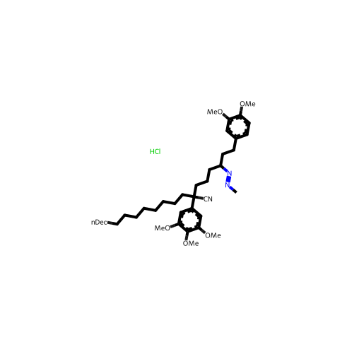 CCCCCCCCCCCCCCCCCCC(C#N)(CCCC(CCc1ccc(OC)c(OC)c1)N=NC)c1cc(OC)c(OC)c(OC)c1.Cl